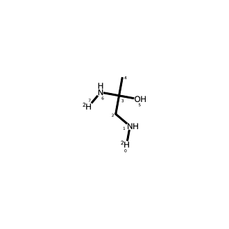 [2H]NCC(C)(O)N[2H]